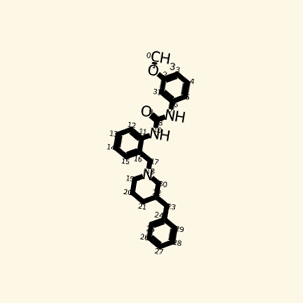 COc1cccc(NC(=O)Nc2ccccc2CN2CCCC(Cc3ccccc3)C2)c1